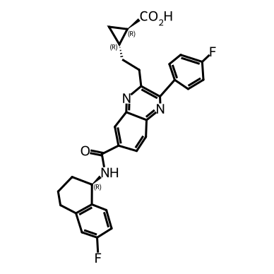 O=C(N[C@@H]1CCCc2cc(F)ccc21)c1ccc2nc(-c3ccc(F)cc3)c(CC[C@@H]3C[C@H]3C(=O)O)nc2c1